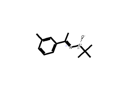 C/C(=N\[S@+]([O-])C(C)(C)C)c1cccc(C)c1